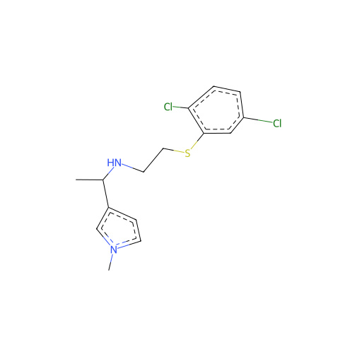 CC(NCCSc1cc(Cl)ccc1Cl)c1ccn(C)c1